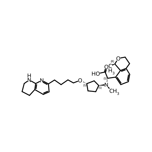 C[C@H]1OCCc2cccc([C@@H](C(=O)O)N(C)[C@H]3CC[C@H](OCCCCc4ccc5c(n4)NCCC5)C3)c21